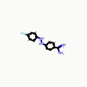 N=C(N)c1ccc(NNc2ccc(F)cc2)cc1